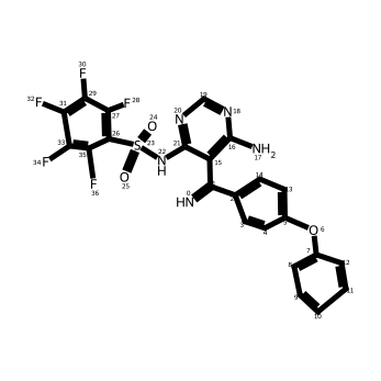 N=C(c1ccc(Oc2ccccc2)cc1)c1c(N)ncnc1NS(=O)(=O)c1c(F)c(F)c(F)c(F)c1F